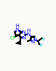 Cc1nn(C(CF)CF)cc1Nc1nc(C2CC2)c2c(Cl)c[nH]c2n1